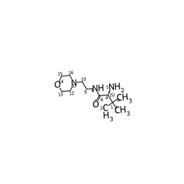 CC(C)(C)[C@H](N)C(=O)NCCN1CCOCC1